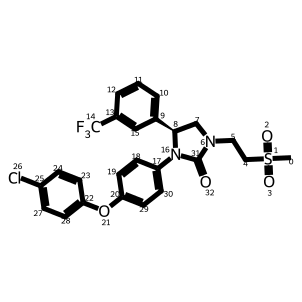 CS(=O)(=O)CCN1C[C@H](c2cccc(C(F)(F)F)c2)N(c2ccc(Oc3ccc(Cl)cc3)cc2)C1=O